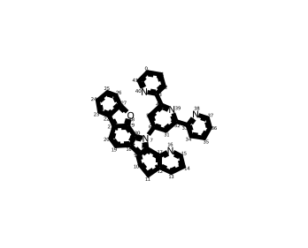 c1ccc(-c2cc(-n3c4c(ccc5cccnc54)c4ccc5c6ccccc6oc5c43)cc(-c3ccccn3)n2)nc1